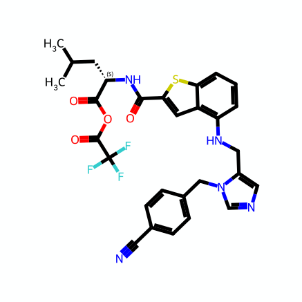 CC(C)C[C@H](NC(=O)c1cc2c(NCc3cncn3Cc3ccc(C#N)cc3)cccc2s1)C(=O)OC(=O)C(F)(F)F